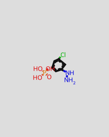 NNc1cccc(Cl)c1.O=P(O)(O)O